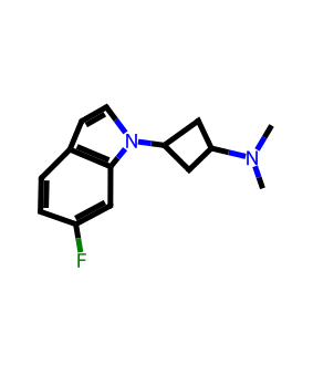 CN(C)C1CC(n2ccc3ccc(F)cc32)C1